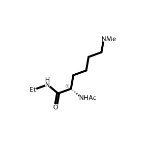 CCNC(=O)[C@H](CCCCNC)NC(C)=O